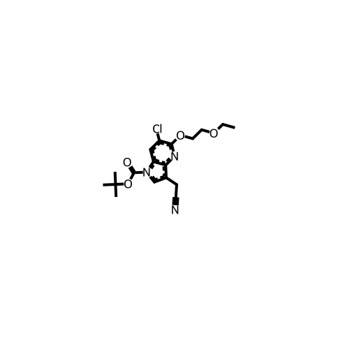 CCOCCOc1nc2c(CC#N)cn(C(=O)OC(C)(C)C)c2cc1Cl